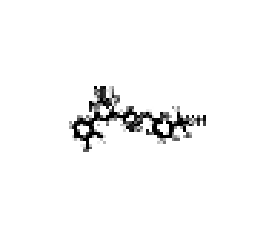 Cc1cccc(-c2cc(-c3cn(Cc4cccc(C(C)(C)O)n4)nn3)nc(N)n2)c1C